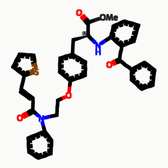 COC(=O)[C@H](Cc1ccc(OCCN(C(=O)C=Cc2cccs2)c2ccccc2)cc1)Nc1ccccc1C(=O)c1ccccc1